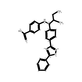 CCC(C)[C@H](Nc1ccc(C(=O)O)cc1)c1ccc(-c2noc(-c3ccccc3)n2)cc1